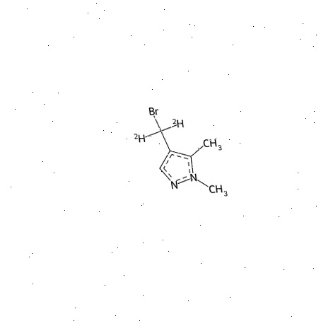 [2H]C([2H])(Br)c1cnn(C)c1C